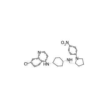 O=[N+]([O-])c1ccc(N2CCC[C@@H]2CN[C@H]2CC[C@@H](Nc3ccnc4cc(Cl)ccc34)CC2)cc1